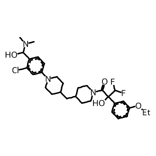 CCOc1cccc(C(O)(C(=O)N2CCC(CC3CCN(c4ccc(C(O)N(C)C)c(Cl)c4)CC3)CC2)C(F)F)c1